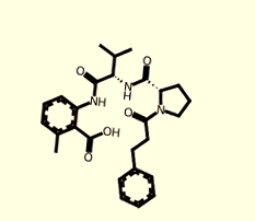 Cc1cccc(NC(=O)[C@@H](NC(=O)[C@@H]2CCCN2C(=O)CCc2ccccc2)C(C)C)c1C(=O)O